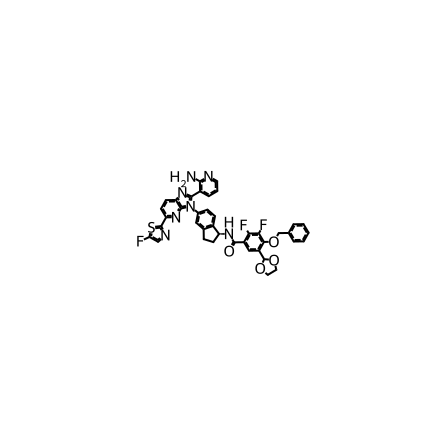 Nc1ncccc1-c1nc2ccc(-c3ncc(F)s3)nc2n1-c1ccc2c(c1)CC[C@@H]2NC(=O)c1cc(C2OCCO2)c(OCc2ccccc2)c(F)c1F